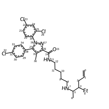 C=CCC(CC)C(C)NCCCCCNC(=O)c1nn(-c2ccc(Cl)cc2Cl)c(-c2ccc(Cl)cc2)c1C